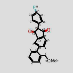 COCc1ccccc1-c1ccc2c(c1)C(=O)C(c1ccc(F)cc1)C2=O